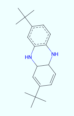 CC(C)(C)C1=CC2Nc3cc(C(C)(C)C)ccc3NC2C=C1